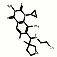 COc1c(C(NCCC#N)C2(C)CCNC2)c(F)cc2c(=O)n(N)c(=O)n(C3CC3)c12